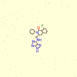 C[C@@H](Nc1ncnc2[nH]cnc12)c1cc2cccc(F)c2c(=O)n1-c1ccccc1